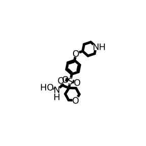 O=C(NO)C1(S(=O)(=O)c2ccc(OC3CCNCC3)cc2)CCOCC1